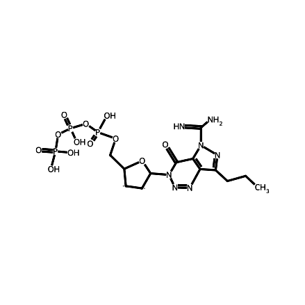 CCCc1nn(C(=N)N)c2c(=O)n(C3[CH][CH]C(COP(=O)(O)OP(=O)(O)OP(=O)(O)O)O3)nnc12